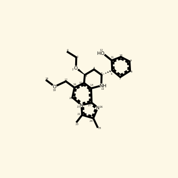 CCO[C@H]1C[C@H](c2ccccc2O)Nc2c1c(COC)cn1c(C)c(C)nc21